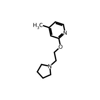 Cc1ccnc(OCCN2CCCC2)c1